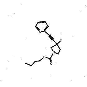 CCCCOC(=O)N1CCC(F)(C#Cc2ccccn2)C1